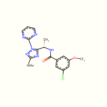 CNc1nc([C@H](C)NC(=O)c2cc(Cl)cc(OC(F)(F)F)c2)n(-c2ncccn2)n1